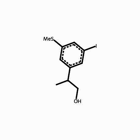 CSc1cc(I)cc([C](C)CO)c1